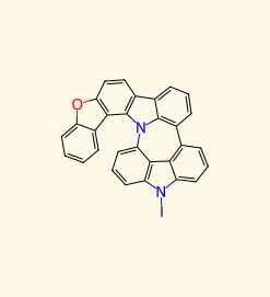 In1c2cccc3c4cccc5c6ccc7oc8ccccc8c7c6n(c6cccc1c6c32)c45